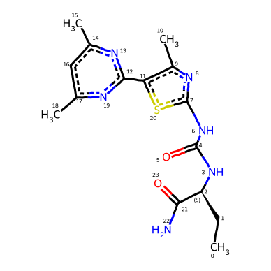 CC[C@H](NC(=O)Nc1nc(C)c(-c2nc(C)cc(C)n2)s1)C(N)=O